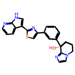 O[C@]1(c2cccc(-c3csc(-c4c[nH]c5ncccc45)n3)c2)CCCn2ccnc21